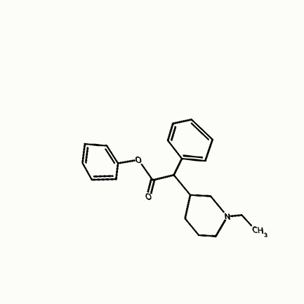 CCN1CCCC(C(C(=O)Oc2ccccc2)c2ccccc2)C1